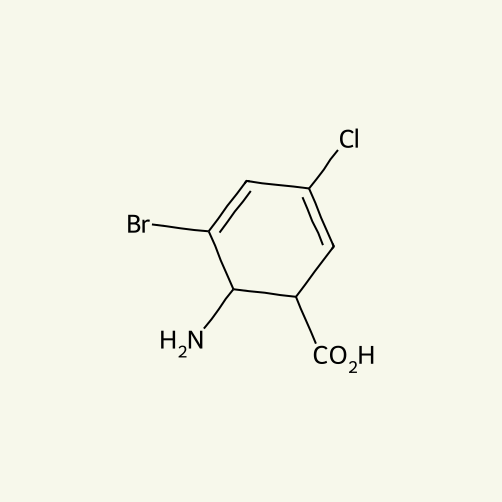 NC1C(Br)=CC(Cl)=CC1C(=O)O